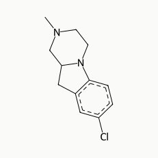 CN1CCN2c3ccc(Cl)cc3CC2C1